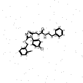 Cc1ccccc1CSc1nnc(CCC(=O)NCCc2ccccc2)n1-c1ccc(Cl)cc1